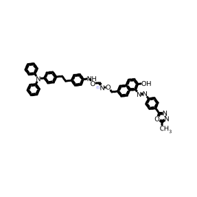 Cc1nnc(-c2ccc(N=Nc3c(O)ccc4cc(CO/N=C/ONc5ccc(CCc6ccc(N(c7ccccc7)c7ccccc7)cc6)cc5)ccc34)cc2)o1